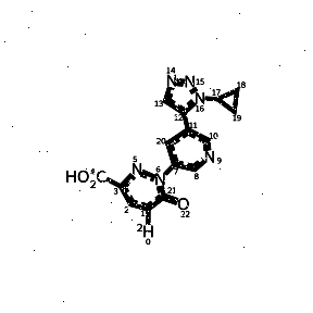 [2H]c1cc(C(=O)O)nn(-c2cncc(-c3cnnn3C3CC3)c2)c1=O